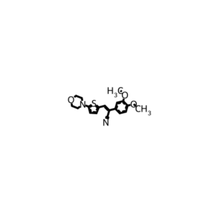 COc1ccc(C(C#N)=Cc2ccc(N3CCOCC3)s2)cc1OC